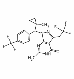 Cc1nc2c(c(CC(F)(F)F)nn2C(c2ccc(C(F)(F)F)cc2)C2(C)CC2)c(=O)[nH]1